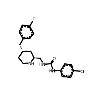 O=C(NC[C@@H]1C[C@@H](Cc2ccc(F)cc2)CCN1)Nc1ccc(Cl)cc1